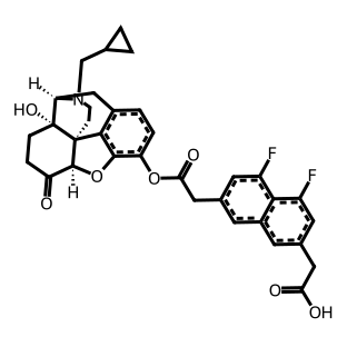 O=C(O)Cc1cc(F)c2c(F)cc(CC(=O)Oc3ccc4c5c3O[C@H]3C(=O)CC[C@@]6(O)[C@@H](C4)N(CC4CC4)CC[C@]536)cc2c1